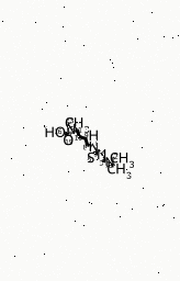 CN(C)C=NC(=S)NCCCCN(C)C(=O)O